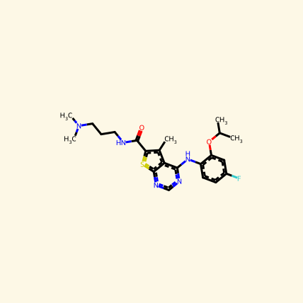 Cc1c(C(=O)NCCCN(C)C)sc2ncnc(Nc3ccc(F)cc3OC(C)C)c12